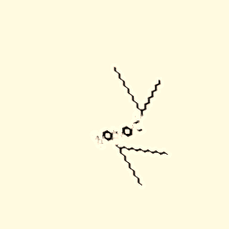 CCCCCCCCCCCCC(CCCCCCCCCC)COCCN(CC)c1ccc(/N=N/c2ccc([N+](=O)[O-])cc2OCC(CCCCCCCCCC)CCCCCCCCCCCC)cc1